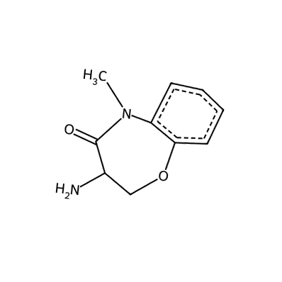 CN1C(=O)C(N)COc2ccccc21